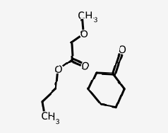 CCCOC(=O)COC.O=C1CCCCC1